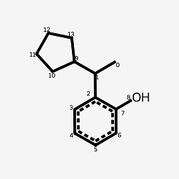 CC(c1ccccc1O)C1CCCC1